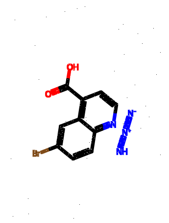 O=C(O)c1ccnc2ccc(Br)cc12.[N-]=[N+]=N